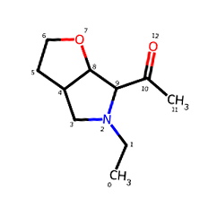 CCN1CC2CCOC2C1C(C)=O